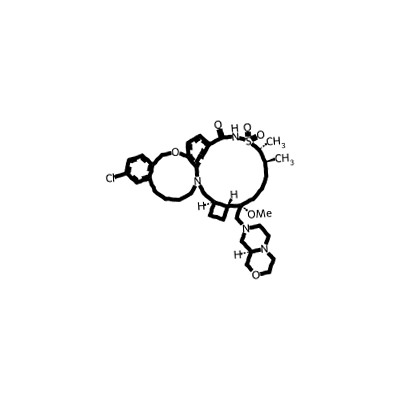 CO[C@@]1(CN2CCN3CCOC[C@H]3C2)CCC[C@H](C)[C@@H](C)S(=O)(=O)NC(=O)c2ccc3c(c2)N(CCCCc2cc(Cl)ccc2CO3)C[C@@H]2CC[C@H]21